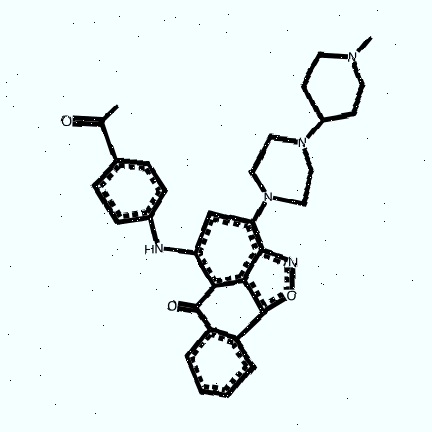 CC(=O)c1ccc(Nc2cc(N3CCN(C4CCN(C)CC4)CC3)c3noc4c3c2C(=O)c2ccccc2-4)cc1